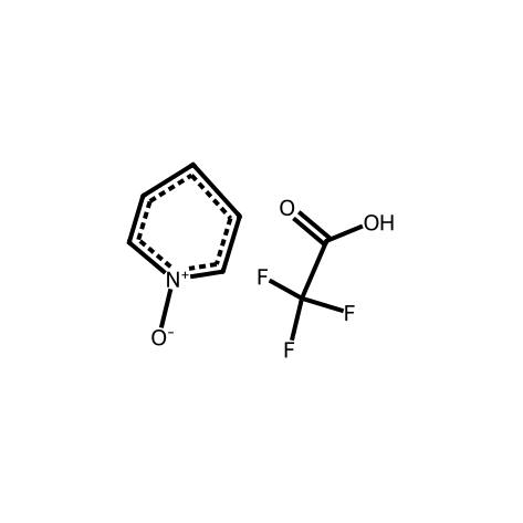 O=C(O)C(F)(F)F.[O-][n+]1ccccc1